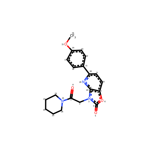 O=C(Cn1c(=O)oc2ccc(-c3ccc(OC(F)(F)F)cc3)nc21)N1CCCCC1